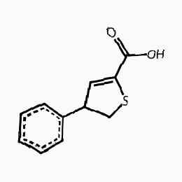 O=C(O)C1=CC(c2ccccc2)CS1